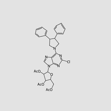 CC(=O)OCC1OC(n2cnc3c(N4CC(c5ccccc5)C(c5ccccc5)C4)nc(Cl)nc32)C(OC(C)=O)C1OC(C)=O